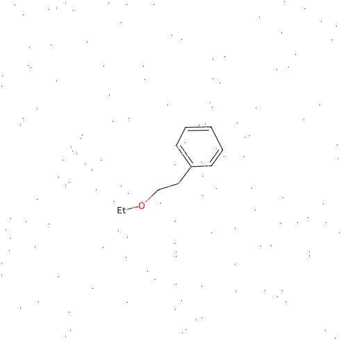 CCOCCc1ccccc1